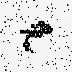 COc1cc(Nc2nccc(N(Cc3cccnc3)C(=O)Oc3c(C)cccc3C)n2)ccc1OCCN1CCN(C)CC1